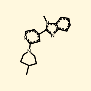 CC1CCN(c2cc(-c3nc4ccccc4n3C)ccn2)CC1